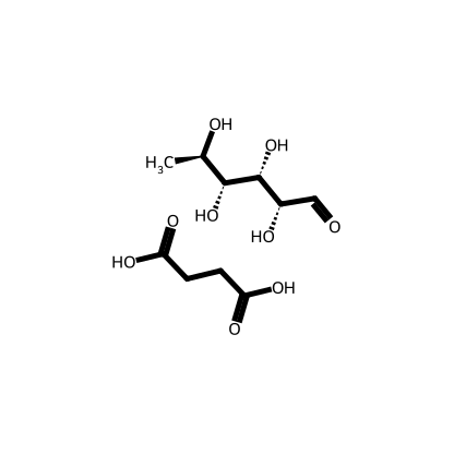 C[C@@H](O)[C@@H](O)[C@H](O)[C@@H](O)C=O.O=C(O)CCC(=O)O